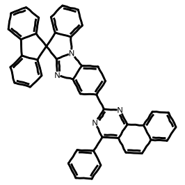 c1ccc(-c2nc(-c3ccc4c(c3)nc3n4-c4ccccc4C34c3ccccc3-c3ccccc34)nc3c2ccc2ccccc23)cc1